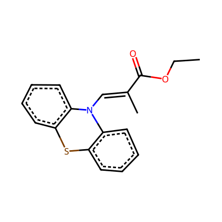 CCOC(=O)C(C)=CN1c2ccccc2Sc2ccccc21